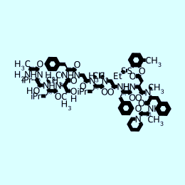 CCSSc1cccc(C)c1OC(=O)C[C@H](NC(=O)[C@H](Cc1ccccc1)NC(=O)CN(C)C(=O)[C@H](CC(C)C)N(C)C(=O)CNC(=O)[C@H](Cc1ccccc1)N(C)C(=O)[C@@H](NC(=O)[C@H](CC(C)C)N(C)C(O)[C@@H](NC(=O)[C@H](C)N)C(C)C)[C@@H](C)O)C(=O)N(C)C(Cc1ccccc1)C(=O)N[C@@H](C)C(=O)N1CCCCC1